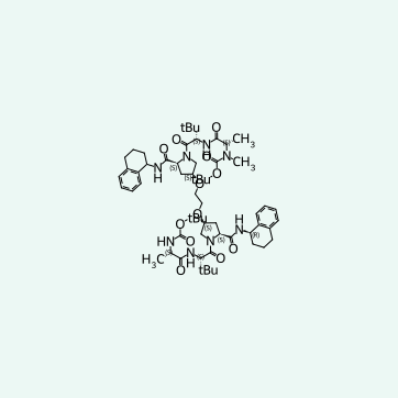 C[C@H](NC(=O)OC(C)(C)C)C(=O)N[C@H](C(=O)N1C[C@@H](OCCO[C@H]2C[C@@H](C(=O)NC3CCCc4ccccc43)N(C(=O)[C@@H](NC(=O)[C@H](C)N(C)C(=O)OC(C)(C)C)C(C)(C)C)C2)C[C@H]1C(=O)N[C@@H]1CCCc2ccccc21)C(C)(C)C